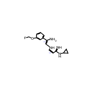 N=C(/C=C\N/C=C(\N)c1cccc(OCF)c1)NC1CC1